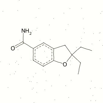 CCC1(CC)Cc2cc(C(N)=O)ccc2O1